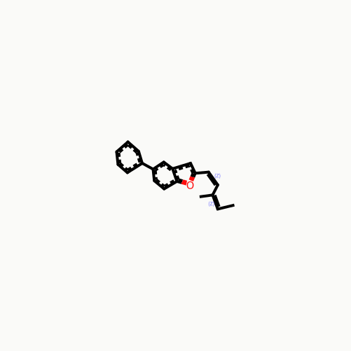 C/C=C(C)\C=C/c1cc2cc(-c3ccccc3)ccc2o1